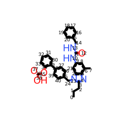 CCCc1nc2c(C)cc(NC(=O)NCc3ccccc3)cc2n1Cc1ccc(-c2ccccc2OC(=O)O)cc1